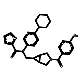 CC(C)(C)c1ccc(C(=O)N2CC3C(C2)C3CN(C(=O)c2cccs2)c2ccc(N3CCCCC3)nc2)cc1